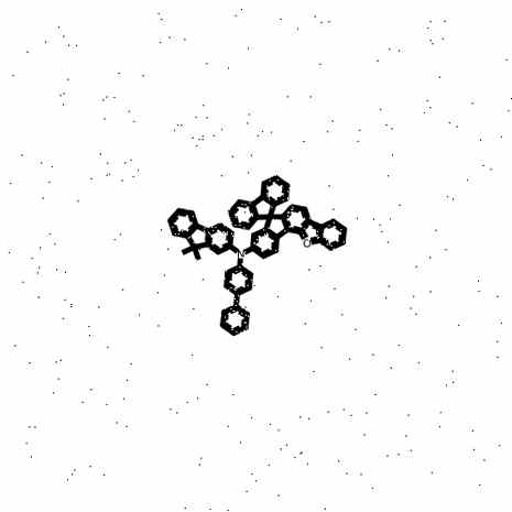 CC1(C)c2ccccc2-c2ccc(N(c3ccc(-c4ccccc4)cc3)c3ccc4c(c3)C3(c5ccccc5-c5ccccc53)c3ccc5c(oc6ccccc65)c3-4)cc21